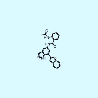 CC(=O)Nc1ccccc1C(=O)Nc1cc(-c2cc3ccccc3s2)c2[nH]ncc2c1